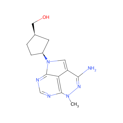 CN1N=C(N)c2cn([C@H]3CC[C@@H](CO)C3)c3ncnc1c23